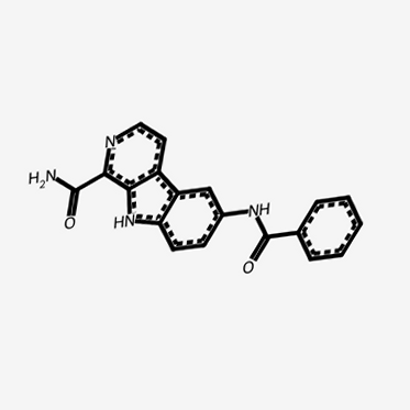 NC(=O)c1nccc2c1[nH]c1ccc(NC(=O)c3ccccc3)cc12